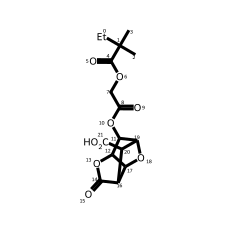 CCC(C)(C)C(=O)OCC(=O)OC1C2OC(=O)C3C2OC1C3C(=O)O